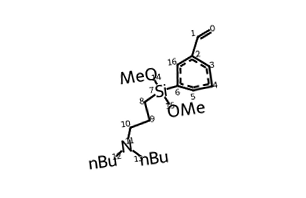 C=Cc1cccc([Si](CCCN(CCCC)CCCC)(OC)OC)c1